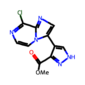 COC(=O)c1n[nH]cc1-c1cnc2c(Cl)nccn12